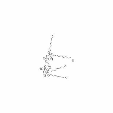 CCCCCCCCOP(=O)(OCCCCCCCC)OP(=O)(O)OCC(=O)OP(=O)(O)OP(=O)(OCCCCCCCC)OCCCCCCCC.[Ti]